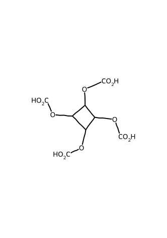 O=C(O)OC1C(OC(=O)O)C(OC(=O)O)C1OC(=O)O